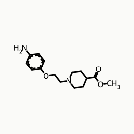 COC(=O)C1CCN(CCOc2ccc(N)cc2)CC1